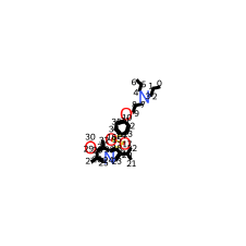 CCCN(CCC)CCCOc1ccc(S(=O)(=O)c2c(C(C)C)cn3cc(C)c(OC)c(C)c23)cc1